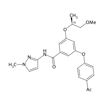 COC[C@H](C)Oc1cc(Oc2ccc(C(C)=O)cc2)cc(C(=O)Nc2ccn(C)n2)c1